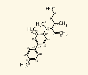 C=CC(C(C)CCO)[N+](=C)c1ccc(-c2ccc(C)cc2)cc1C